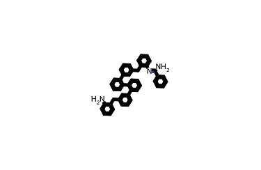 N/C(=N\c1ccccc1Cc1cccc(-c2ccccc2-c2ccccc2-c2cccc(Cc3ccccc3N)c2)c1)c1ccccc1